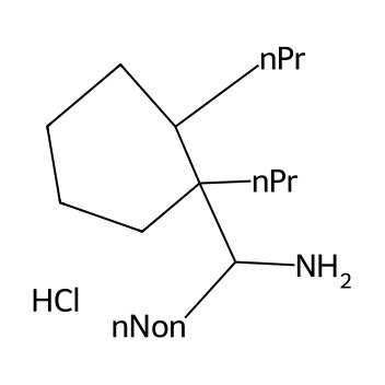 CCCCCCCCCC(N)C1(CCC)CCCCC1CCC.Cl